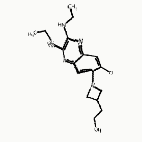 CCNc1nc2cc(Cl)c(N3CC(CCO)C3)cc2nc1NCC